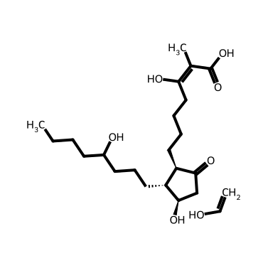 C=CO.CCCCC(O)CCC[C@H]1[C@H](O)CC(=O)[C@@H]1CCCCC(O)=C(C)C(=O)O